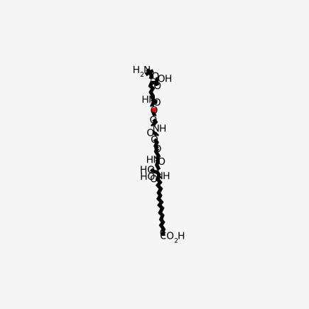 CC(C)(N)C(=O)C[C@@H](CCCCNC(=O)COCCOCCNC(=O)COCCOCCNC(=O)CC[C@H](NC(=O)CCCCCCCCCCCCCCCCC(=O)O)C(O)O)C(=O)CO